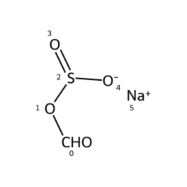 O=COS(=O)[O-].[Na+]